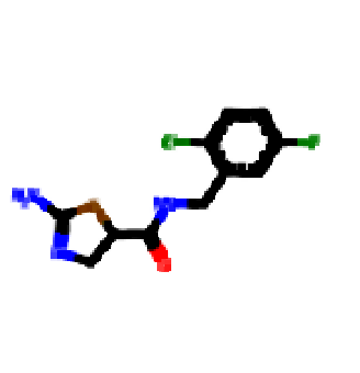 NC1=NCC(C(=O)NCc2cc(F)ccc2Cl)S1